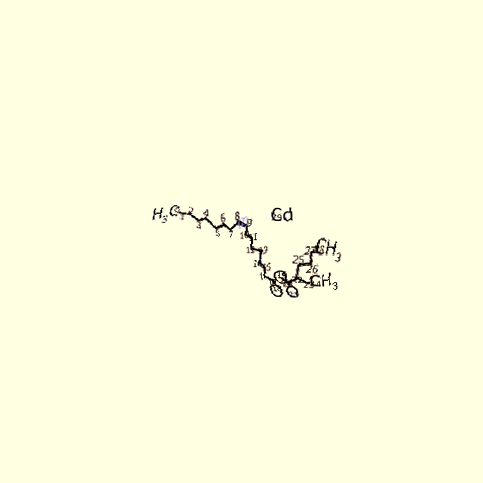 CCCCCCCC/C=C\CCCCCCCC(=O)OC(=O)C(CC)CCCC.[Cd]